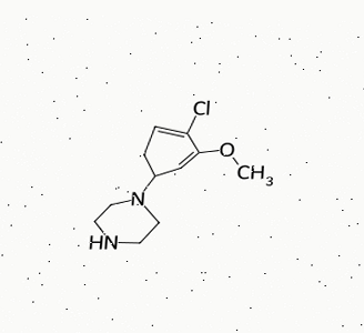 COC1=CC(N2CCNCC2)CC=C1Cl